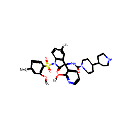 CCOc1cc(OC)ccc1S(=O)(=O)N1C(=O)C(NC(=O)N2CCC(C3CCNCC3)CC2)(c2cccnc2OCC)c2cc(C#N)ccc21